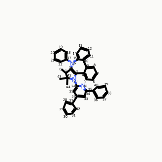 CC1C2=C(c3ccccc3-c3ccccc3N2c2ccccc2)N(c2cc(-c3ccccc3)cc(-c3ccccc3)n2)C1(C)C